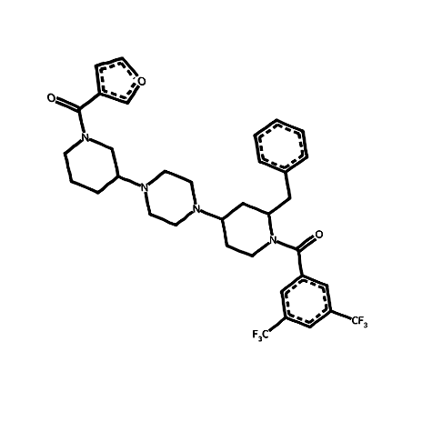 O=C(c1ccoc1)N1CCCC(N2CCN(C3CCN(C(=O)c4cc(C(F)(F)F)cc(C(F)(F)F)c4)C(Cc4ccccc4)C3)CC2)C1